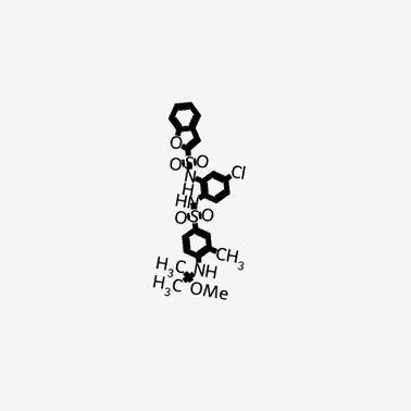 COC(C)(C)Nc1ccc(S(=O)(=O)Nc2ccc(Cl)cc2NS(=O)(=O)c2cc3ccccc3o2)cc1C